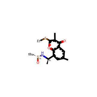 CCSc1oc2c([C@@H](C)N[S@+]([O-])C(C)(C)C)cc(C)cc2c(=O)c1C